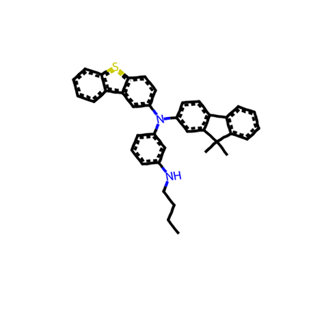 CCCCNc1cccc(N(c2ccc3c(c2)C(C)(C)c2ccccc2-3)c2ccc3sc4ccccc4c3c2)c1